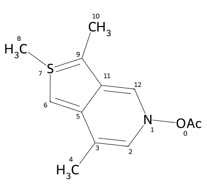 CC(=O)ON1C=C(C)C2=CS(C)=C(C)C2=C1